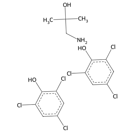 CC(C)(O)CN.Oc1c(Cl)cc(Cl)cc1Cl.Oc1c(Cl)cc(Cl)cc1Cl